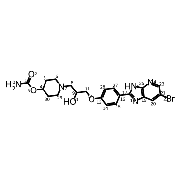 NC(=O)OC1CCN(CC(O)COc2ccc(-c3nc4cc(Br)cnc4[nH]3)cc2)CC1